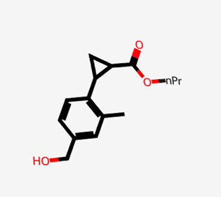 CCCOC(=O)C1CC1c1ccc(CO)cc1C